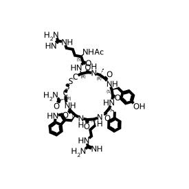 CC(=O)N[C@@H](CCCNC(=N)N)C(=O)N[C@H]1CSSC[C@@H](C(N)=O)NC(=O)[C@H](Cc2c[nH]c3ccccc23)NC(=O)[C@H](CCCNC(=N)N)NC(=O)[C@@H](Cc2ccccc2)NC(=O)[C@H](Cc2ccc(O)cc2)NC(=O)[C@@H](C)NC1=O